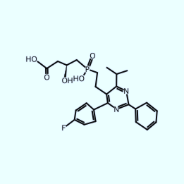 CC(C)c1nc(-c2ccccc2)nc(-c2ccc(F)cc2)c1CCP(=O)(O)C[C@@H](O)CC(=O)O